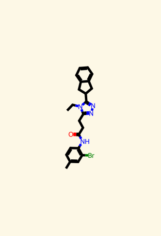 CCn1c(CCC(=O)Nc2ccc(C)cc2Br)nnc1C1Cc2ccccc2C1